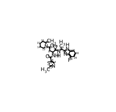 Cc1ncc(C(=O)NC(CC(=O)N2CCCCC2C)C(=O)N[C@@H](C)c2nc3c(F)cccc3[nH]2)s1